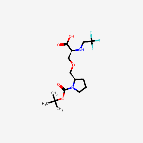 CC(C)(C)OC(=O)N1CCC[C@@H]1COC[C@H](NCC(F)(F)F)C(=O)O